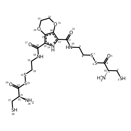 N[C@@H](CS)C(=O)SSCCNC(=O)c1[nH]c(C(=O)NCCSSC(=O)[C@@H](N)CS)c2c1OCCO2